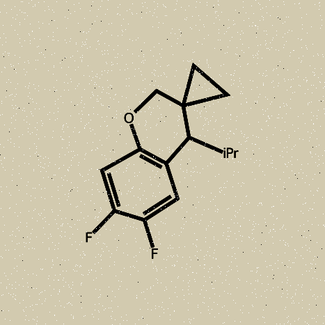 CC(C)C1c2cc(F)c(F)cc2OCC12CC2